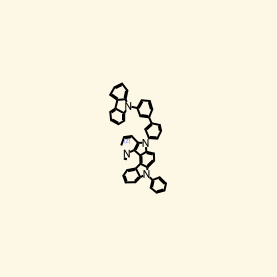 C=Nc1c(/C=C\C)n(-c2cccc(-c3cccc(-n4c5ccccc5c5ccccc54)c3)c2)c2ccc3c(c4ccccc4n3-c3ccccc3)c12